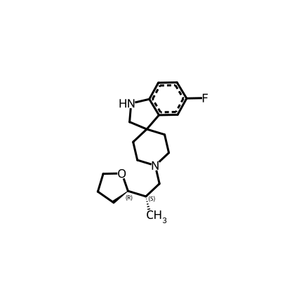 C[C@@H](CN1CCC2(CC1)CNc1ccc(F)cc12)[C@H]1CCCO1